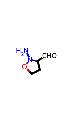 NN1OCCC1C=O